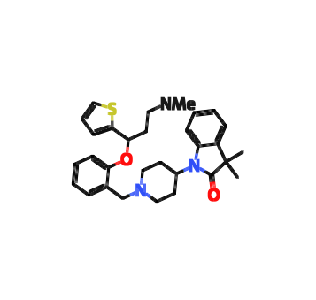 CNCCC(Oc1ccccc1CN1CCC(N2C(=O)C(C)(C)c3ccccc32)CC1)c1cccs1